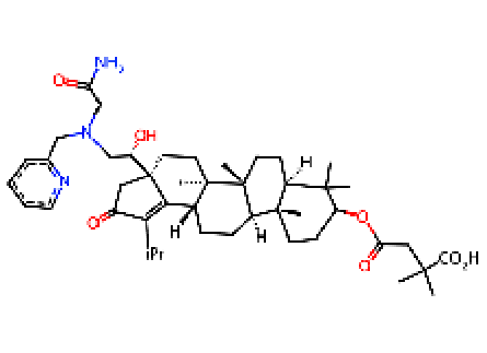 CC(C)C1=C2[C@H]3CC[C@@H]4[C@@]5(C)CC[C@H](OC(=O)CC(C)(C)C(=O)O)C(C)(C)[C@@H]5CC[C@@]4(C)[C@]3(C)CC[C@@]2([C@@H](O)CN(CC(N)=O)Cc2ccccn2)CC1=O